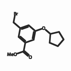 COC(=O)c1cc(CBr)cc(OC2CCCC2)c1